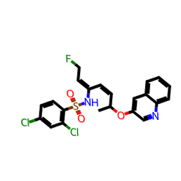 CC(/C=C\C(=C/CF)NS(=O)(=O)c1ccc(Cl)cc1Cl)Oc1cnc2ccccc2c1